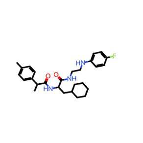 Cc1ccc(C(C)C(=O)NC(CC2CCCCC2)C(=O)NCCNc2ccc(F)cc2)cc1